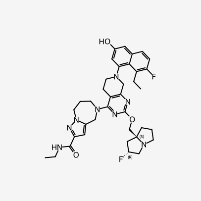 CCNC(=O)c1cc2n(n1)CCCN(c1nc(OC[C@@]34CCCN3C[C@H](F)C4)nc3c1CCN(c1cc(O)cc4ccc(F)c(CC)c14)C3)C2